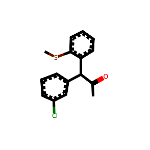 CSc1ccccc1C(C(C)=O)c1cccc(Cl)c1